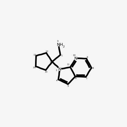 NCC1(n2ccc3cccnc32)CCCC1